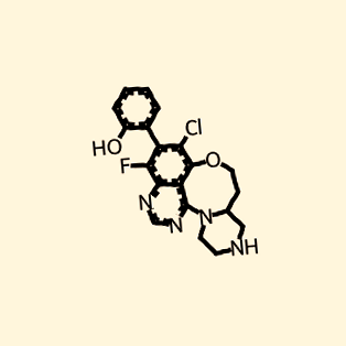 Oc1ccccc1-c1c(Cl)c2c3c(ncnc3c1F)N1CCNCC1CCO2